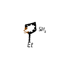 CCc1cccs1.[SiH4]